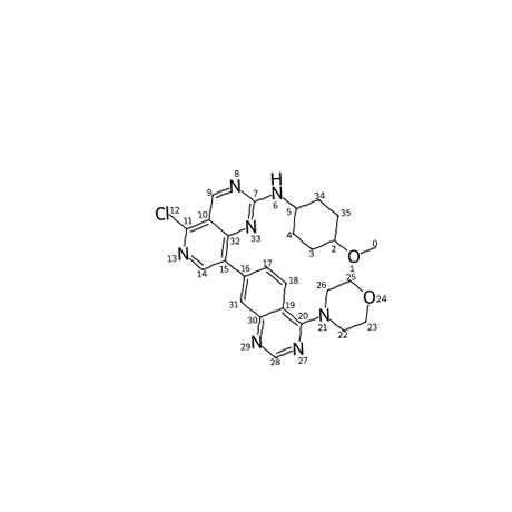 COC1CCC(Nc2ncc3c(Cl)ncc(-c4ccc5c(N6CCOCC6)ncnc5c4)c3n2)CC1